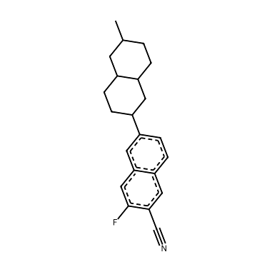 CC1CCC2CC(c3ccc4cc(C#N)c(F)cc4c3)CCC2C1